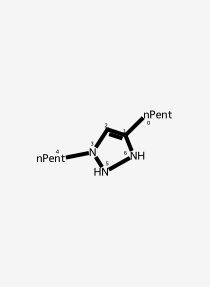 CCCCCC1=CN(CCCCC)NN1